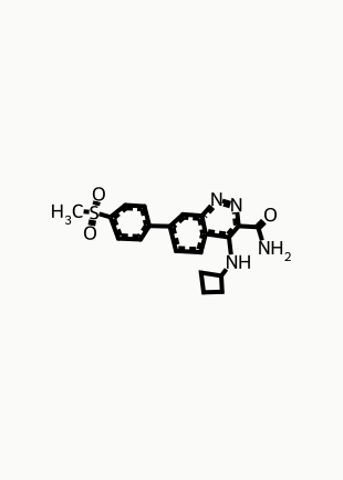 CS(=O)(=O)c1ccc(-c2ccc3c(NC4CCC4)c(C(N)=O)nnc3c2)cc1